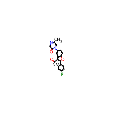 CNC(=O)c1c(-c2ccc(F)cc2)oc2ccc(-n3cc(C)ncc3=O)cc12